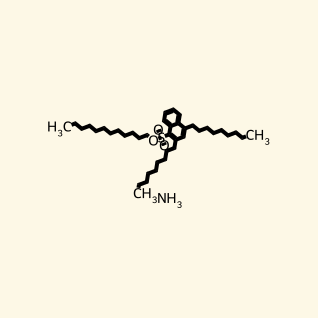 CCCCCCCCCCCCOS(=O)(=O)c1c(CCCCCCCCC)cc(CCCCCCCCC)c2ccccc12.N